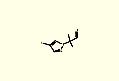 CC(C)(C=O)n1cc(F)cn1